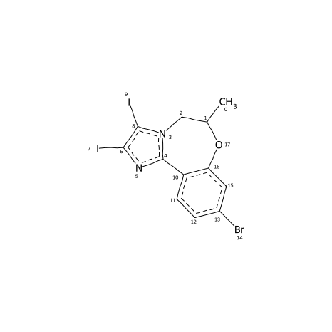 CC1Cn2c(nc(I)c2I)-c2ccc(Br)cc2O1